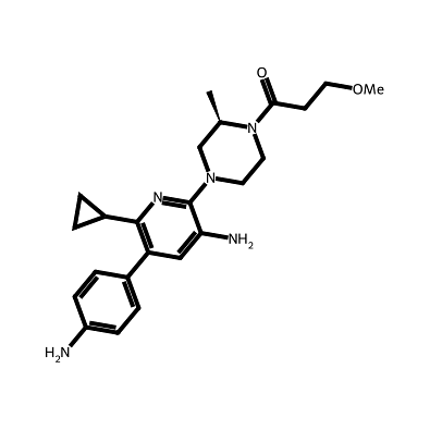 COCCC(=O)N1CCN(c2nc(C3CC3)c(-c3ccc(N)cc3)cc2N)C[C@H]1C